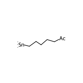 CC(=O)CCCC[CH2][Sn]